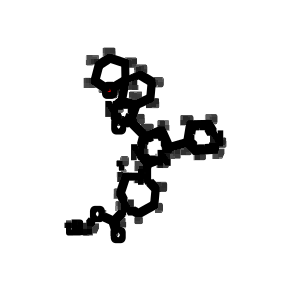 C[C@H]1CN(C(=O)OC(C)(C)C)CCCN1c1nc(-c2ccncc2)cc(-c2onc3c2CCC[C@@]32CCCCC23OCCO3)n1